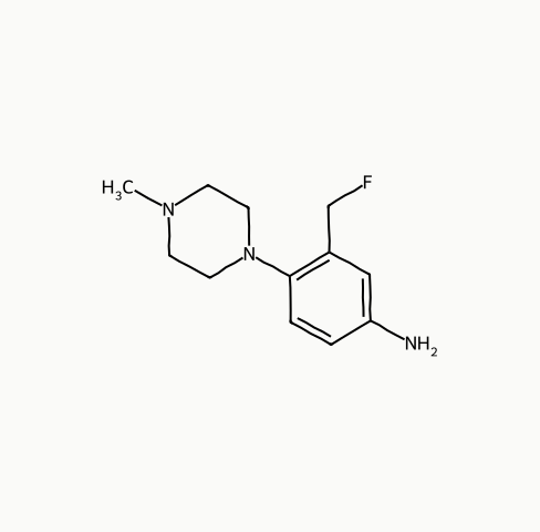 CN1CCN(c2ccc(N)cc2CF)CC1